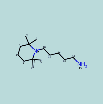 CC1(C)CCCC(C)(C)N1CCCCCN